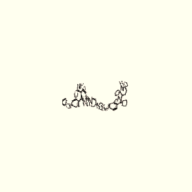 NC(=O)c1ccc(N2CCC(N3CCN(Cc4ccc5c(c4)CN(C4CCC(=O)NC4=O)C5=O)CC3)CC2)nc1-c1ccc(Oc2ccccc2)cc1